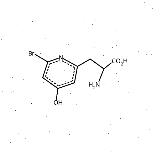 NC(Cc1cc(O)cc(Br)n1)C(=O)O